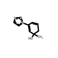 CC1(O)C=C(n2ccnn2)C=CC1